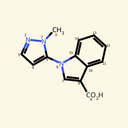 Cn1nccc1-n1cc(C(=O)O)c2ccccc21